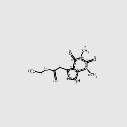 CCOC(=O)Cc1n[nH]c2c1c(=O)n(C)c(=O)n2C